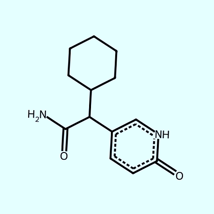 NC(=O)C(c1ccc(=O)[nH]c1)C1CCCCC1